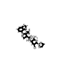 Cc1nc(-n2nccn2)c(Cl)cc1NC(O)c1cnn(-c2cccc3scnc23)c1C(F)(F)F